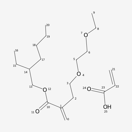 C=C(CCOCCOCC)C(=O)OCC(CC)CCCC.C=CC(=O)O